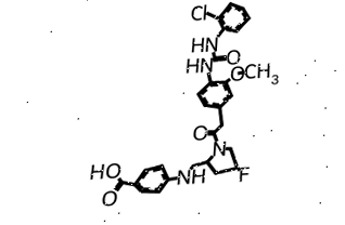 COc1cc(CC(=O)N2CC(F)CC2CNc2ccc(C(=O)O)cc2)ccc1NC(=O)Nc1ccccc1Cl